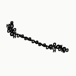 Cn1nc(-c2nc3ccc(NC(=O)c4ccc(OCCOCCOCCOCCOCCOCCOCCOCCOCCNc5cccc6c5C(=O)N(C5CCC(=O)NC5=O)C6=O)cn4)cc3o2)ccc1=O